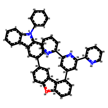 c1ccc(-n2c3ccccc3c3cc(-c4ccc5oc6cccc(-c7cc(-c8ccccn8)nc(-c8ccccn8)c7)c6c5c4)ccc32)cc1